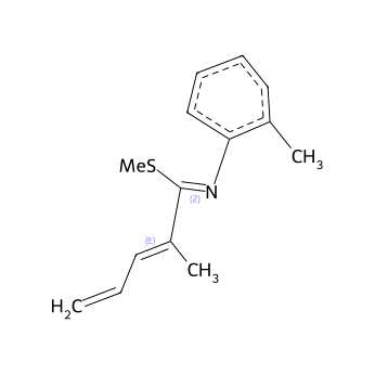 C=C/C=C(C)/C(=N/c1ccccc1C)SC